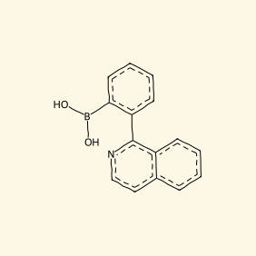 OB(O)c1ccccc1-c1nccc2ccccc12